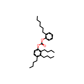 CCCCCCc1ccccc1OC(=O)Oc1ccc(CCCC)c(CCCC)c1CCCC